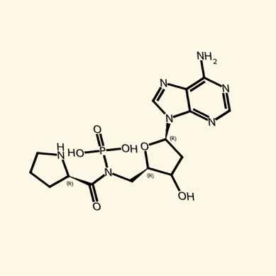 Nc1ncnc2c1ncn2[C@H]1CC(O)[C@@H](CN(C(=O)[C@H]2CCCN2)P(=O)(O)O)O1